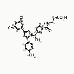 Cc1ccc(-c2cc(-c3cc(Cl)cc(Cl)c3)nn2C(C)c2ccc(C(=O)NCCC(=O)O)s2)cc1